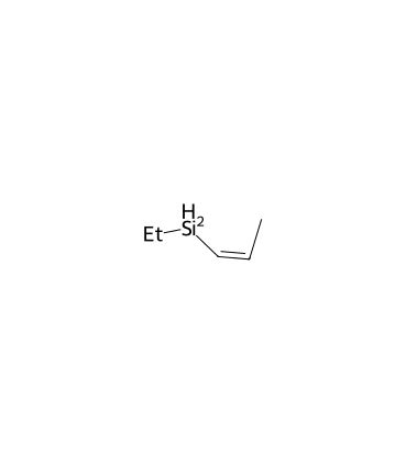 C/C=C\[SiH2]CC